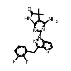 CC1(C)C(=O)Nc2nc(-n3nc(Cc4cccc(F)c4F)c4sccc43)nc(N)c21